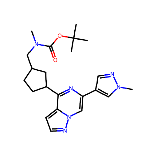 CN(CC1CCC(c2nc(-c3cnn(C)c3)cn3nccc23)C1)C(=O)OC(C)(C)C